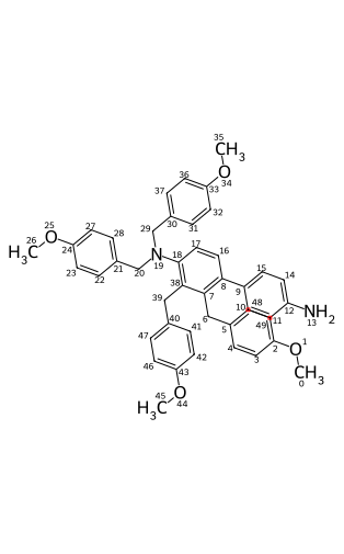 COc1ccc(Cc2c(-c3ccc(N)cc3)ccc(N(Cc3ccc(OC)cc3)Cc3ccc(OC)cc3)c2Cc2ccc(OC)cc2)cc1